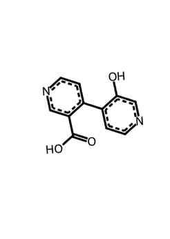 O=C(O)c1cnccc1-c1ccncc1O